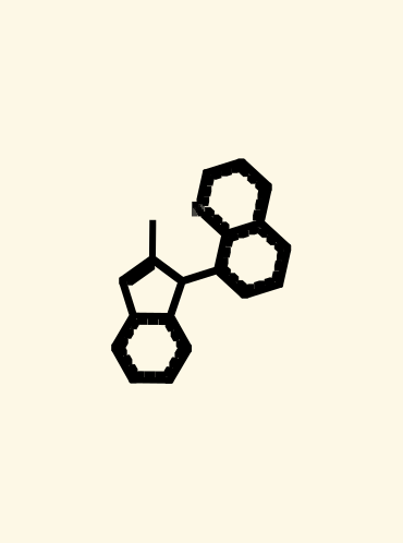 CC1=Cc2ccccc2C1c1cccc2cccnc12